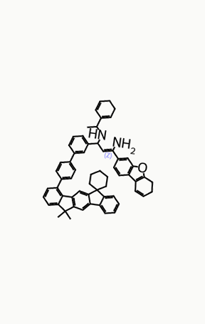 CC(NC(/C=C(\N)c1ccc2c3c(oc2c1)CCC=C3)c1cccc(-c2ccc(-c3cccc4c3-c3cc5c(cc3C4(C)C)-c3ccccc3C53CCCCC3)cc2)c1)C1=CCCC=C1